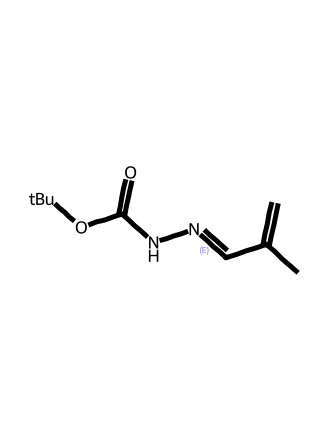 C=C(C)/C=N/NC(=O)OC(C)(C)C